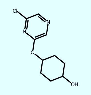 OC1CCC(Oc2cncc(Cl)n2)CC1